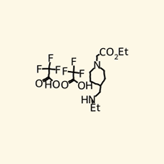 CCNCC1CCN(CC(=O)OCC)CC1.O=C(O)C(F)(F)F.O=C(O)C(F)(F)F